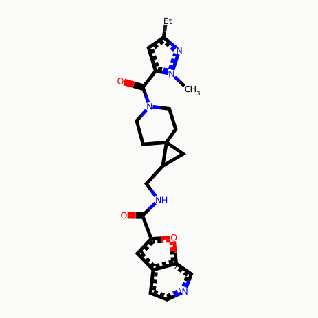 CCc1cc(C(=O)N2CCC3(CC2)CC3CNC(=O)c2cc3ccncc3o2)n(C)n1